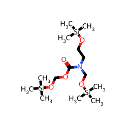 C[Si](C)(C)OCCN(CO[Si](C)(C)C)C(=O)OCO[Si](C)(C)C